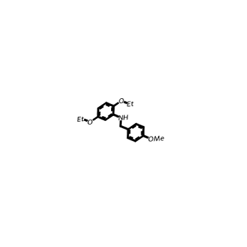 CCOc1ccc(OCC)c(NCc2ccc(OC)cc2)c1